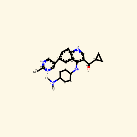 CCN(CC)C1CCC(Nc2c(C(=O)C3CC3)cnc3ccc(-c4cnc(C#N)nc4)cc23)CC1